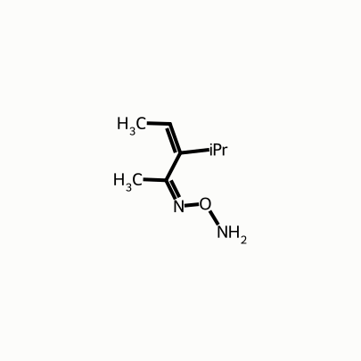 C/C=C(\C(C)=N/ON)C(C)C